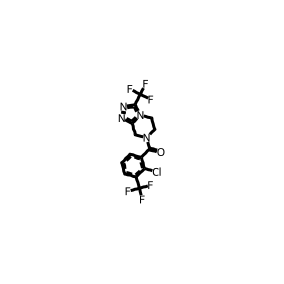 O=C(c1cccc(C(F)(F)F)c1Cl)N1CCn2c(nnc2C(F)(F)F)C1